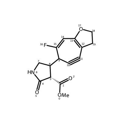 COC(=O)[C@@H]1C(=O)NCC1C1C#CC2=C(C=C1F)OCC2